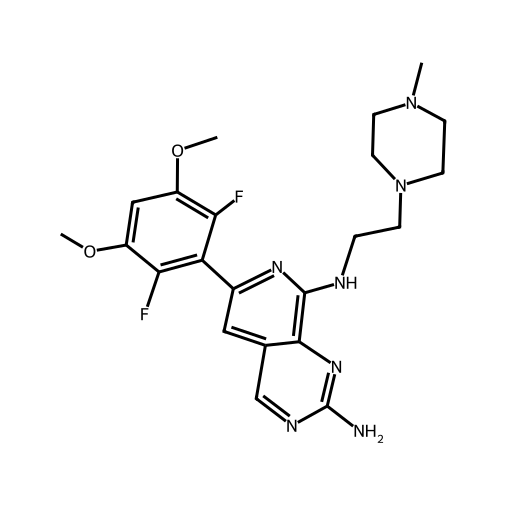 COc1cc(OC)c(F)c(-c2cc3cnc(N)nc3c(NCCN3CCN(C)CC3)n2)c1F